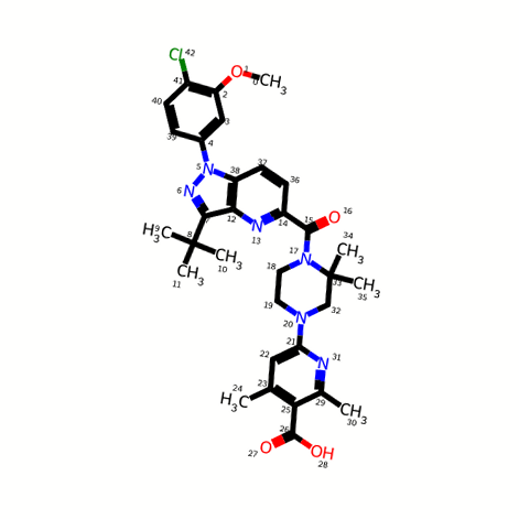 COc1cc(-n2nc(C(C)(C)C)c3nc(C(=O)N4CCN(c5cc(C)c(C(=O)O)c(C)n5)CC4(C)C)ccc32)ccc1Cl